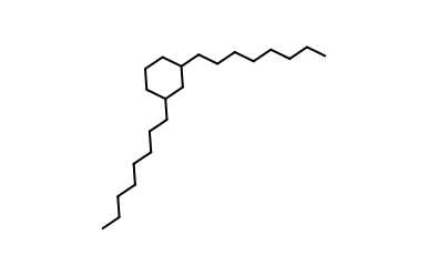 CCCCCCCCC1CCCC(CCCCCCCC)C1